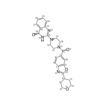 O=C(c1ccc2nc(C3CCOCC3)oc2c1)N1CCN(c2nc3ccccc3c(=O)[nH]2)CC1